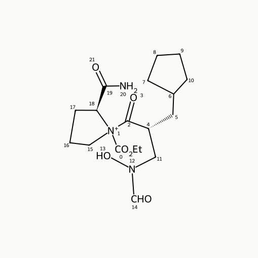 CCOC(=O)[N+]1(C(=O)[C@H](CC2CCCC2)CN(O)C=O)CCC[C@H]1C(N)=O